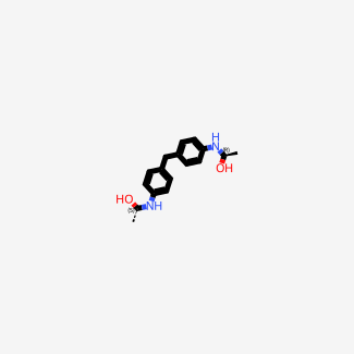 C[C@H](O)Nc1ccc(Cc2ccc(N[C@@H](C)O)cc2)cc1